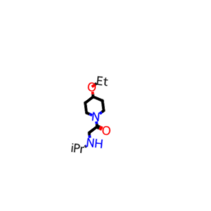 CCOC1CCN(C(=O)CNC(C)C)CC1